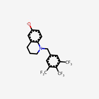 [O]c1ccc2c(c1)CCCN2Cc1cc(C(F)(F)F)c(C(F)(F)F)c(C(F)(F)F)c1